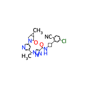 CC1C2CN(c3cncc(C(C)n4cc(C(=O)NC5CC(c6cc(Cl)ccc6C#N)C5)nn4)c3)C(=O)C12